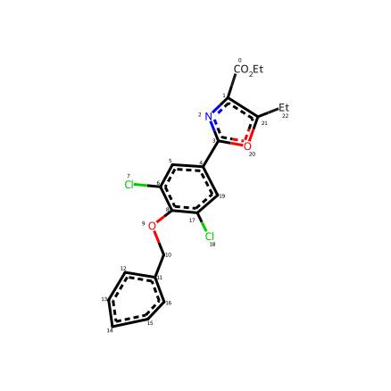 CCOC(=O)c1nc(-c2cc(Cl)c(OCc3ccccc3)c(Cl)c2)oc1CC